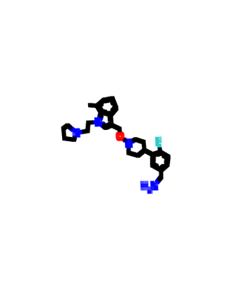 Cc1cccc2c(CON3CCC(c4cc(CN)ccc4F)CC3)cn(CCN3CCCC3)c12